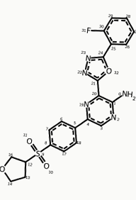 Nc1ncc(-c2ccc(S(=O)(=O)C3CCOC3)cc2)nc1-c1nnc(-c2ccccc2F)o1